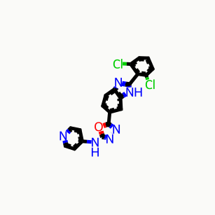 Clc1cccc(Cl)c1-c1nc2ccc(-c3nnc(Nc4ccncc4)o3)cc2[nH]1